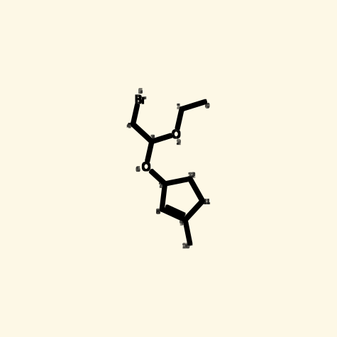 CCOC(CBr)OC1C=C(C)CC1